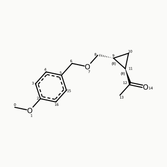 COc1ccc(COC[C@@H]2C[C@H]2C(C)=O)cc1